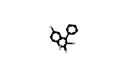 CC(C)c1c(-c2ccccc2)c2cc(Cl)ccc2[nH]c1=O